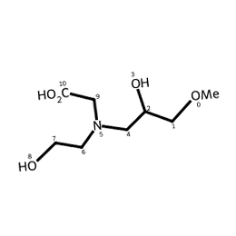 COCC(O)CN(CCO)CC(=O)O